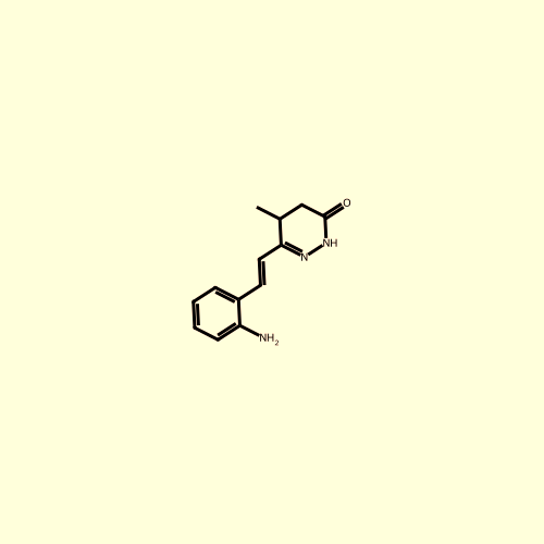 CC1CC(=O)NN=C1C=Cc1ccccc1N